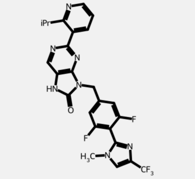 CC(C)c1ncccc1-c1ncc2[nH]c(=O)n(Cc3cc(F)c(-c4nc(C(F)(F)F)cn4C)c(F)c3)c2n1